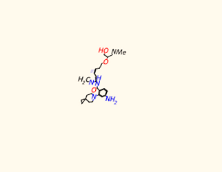 C=N/C(=C\C=C/CCOC(CO)CNC)NC(=O)c1ccc(N)cc1N1CCC2(CC1)CC2